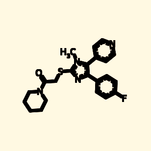 Cn1c(SCC(=O)N2CCCCC2)nc(-c2ccc(F)cc2)c1-c1ccncc1